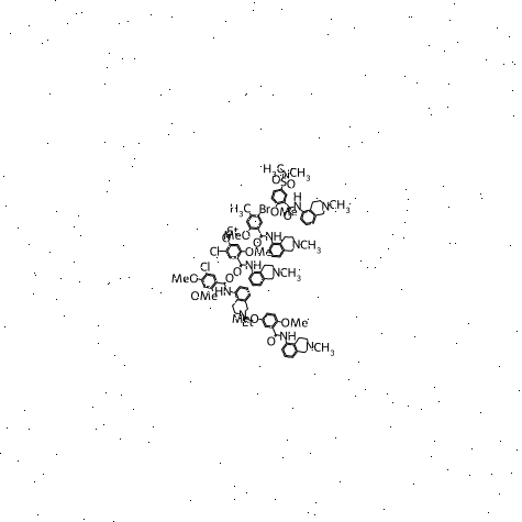 CCN1CCc2c(cccc2NC(=O)c2cc(Cl)c(OC)cc2OC)C1.CCOc1cc(OC)c(C(=O)Nc2cccc3c2CCN(C)C3)cc1Cl.COc1cc(C)c(Br)cc1C(=O)Nc1cccc2c1CCN(C)C2.COc1ccc(OC)c(C(=O)Nc2cccc3c2CCN(C)C3)c1.COc1ccc(S(=O)(=O)N(C)C)cc1C(=O)Nc1cccc2c1CCN(C)C2